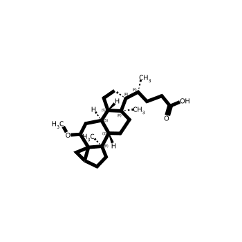 COC1C[C@H]2[C@@H]3CC[C@H]([C@H](C)CCC(=O)O)[C@@]3(C)CC[C@@H]2[C@@]2(C)CCC3CC312